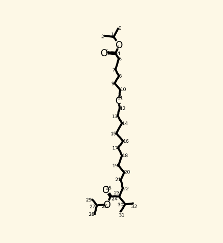 CC(C)OC(=O)CCCCCCCCCCCCCCCCCC(C(=O)OC(C)C)C(C)C